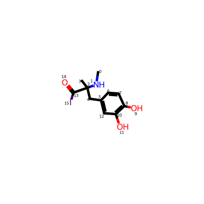 CNC(C)(Cc1ccc(O)c(O)c1)C(=O)I